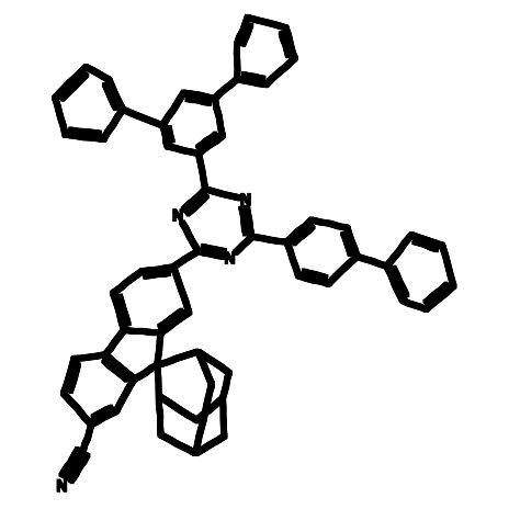 N#Cc1ccc2c(c1)C1(c3cc(-c4nc(-c5ccc(-c6ccccc6)cc5)nc(-c5cc(-c6ccccc6)cc(-c6ccccc6)c5)n4)ccc3-2)C2CC3CC(C2)CC1C3